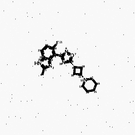 Cc1nc2c(-c3noc([C@H]4C[C@@H](N5CCCCC5)C4)n3)c(F)ccc2[nH]1